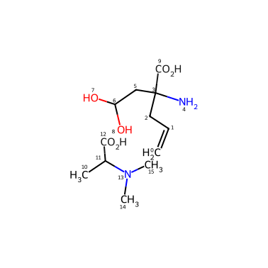 C=CCC(N)(CC(O)O)C(=O)O.CC(C(=O)O)N(C)C